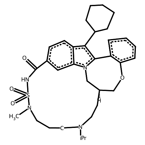 CC(C)N1CCCN(C)S(=O)(=O)NC(=O)c2ccc3c(C4CCCCC4)c4n(c3c2)C[C@H](CC1)COc1ccccc1-4